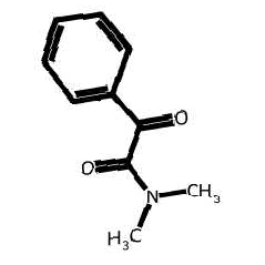 CN(C)C(=O)C(=O)c1ccccc1